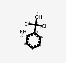 OC(Cl)(Cl)c1ccccc1.[KH]